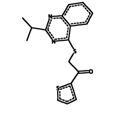 CC(C)c1nc(SCC(=O)c2cccs2)c2ccccc2n1